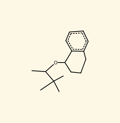 CC(OC1CCCc2ccccc21)C(C)(C)C